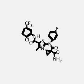 Cc1nc(N(C(=O)C2(C(N)=O)CC2)c2ccc(F)cc2)sc1C(=O)Nc1cc(C(F)(F)F)ccc1Cl